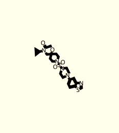 O=C1COC2(CCN(S(=O)(=O)N3CCN(c4ccc5scnc5c4)CC3)CC2)CN1C1CC1